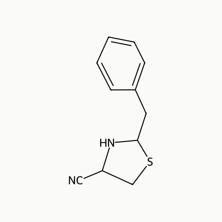 N#CC1CSC(Cc2ccccc2)N1